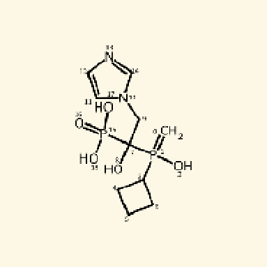 C=P(O)(C1CCC1)C(O)(Cn1ccnc1)P(=O)(O)O